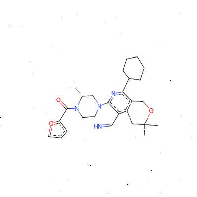 C[C@@H]1CN(c2nc(C3CCCCC3)c3c(c2C=N)CC(C)(C)OC3)CCN1C(=O)c1ccco1